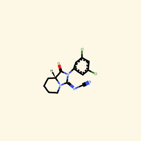 N#C/N=C1\N(c2cc(Cl)cc(Cl)c2)C(=O)[C@H]2CCCCN12